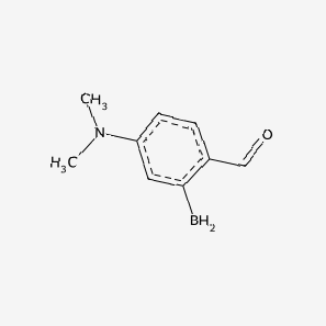 Bc1cc(N(C)C)ccc1C=O